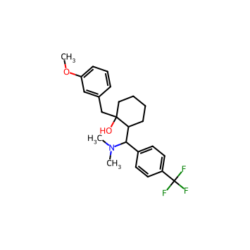 COc1cccc(CC2(O)CCCCC2C(c2ccc(C(F)(F)F)cc2)N(C)C)c1